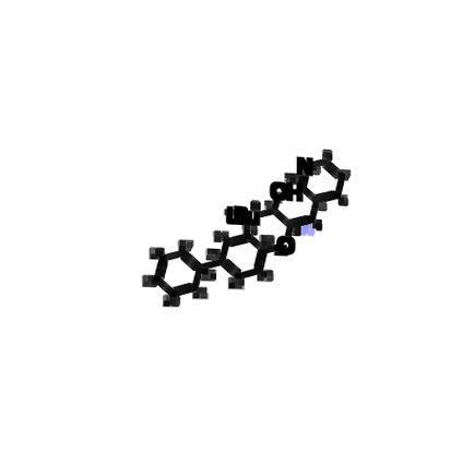 CC(C)(C)C(O)/C(=C\c1cccnc1)Oc1ccc(-c2ccccc2)cc1